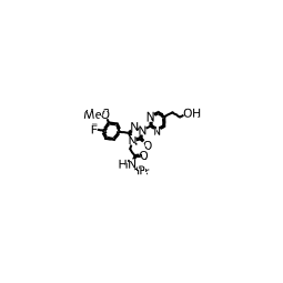 COc1cc(-c2nn(-c3ncc(CCO)cn3)c(=O)n2CC(=O)NC(C)C)ccc1F